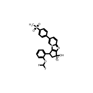 [2H][C@@]1(O)CC(c2ccccc2OC(F)F)c2c1nc1ccc(-c3ccc(S(C)(=O)=O)cc3)cn21